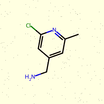 Cc1cc(CN)cc(Cl)n1